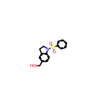 O=S(=O)(c1ccccc1)N1CCc2cc(CO)ccc21